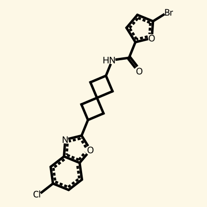 O=C(NC1CC2(C1)CC(c1nc3cc(Cl)ccc3o1)C2)c1ccc(Br)o1